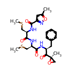 CSC[C@@H](NC(=O)c1cc(C)on1)C(=O)N[C@H](CSC)C(=O)N[C@@H](Cc1ccccc1)C(=O)[C@@]1(C)CO1